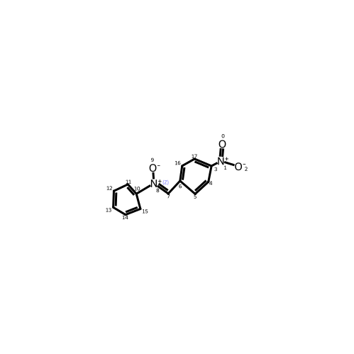 O=[N+]([O-])c1ccc(/C=[N+](\[O-])c2ccccc2)cc1